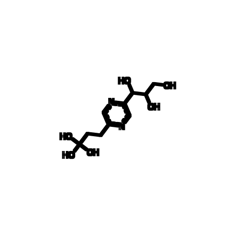 OCC(O)C(O)c1cnc(CCC(O)(O)O)cn1